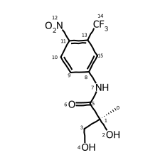 C[C@](O)(CO)C(=O)Nc1ccc([N+](=O)[O-])c(C(F)(F)F)c1